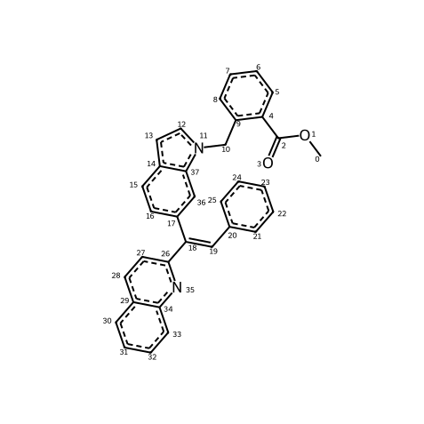 COC(=O)c1ccccc1Cn1ccc2ccc(C(=Cc3ccccc3)c3ccc4ccccc4n3)cc21